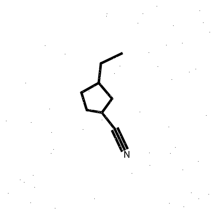 CCC1CCC(C#N)C1